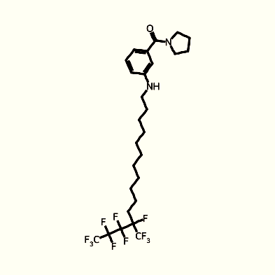 O=C(c1cccc(NCCCCCCCCCCCC(F)(C(F)(F)F)C(F)(F)C(F)(F)C(F)(F)F)c1)N1CCCC1